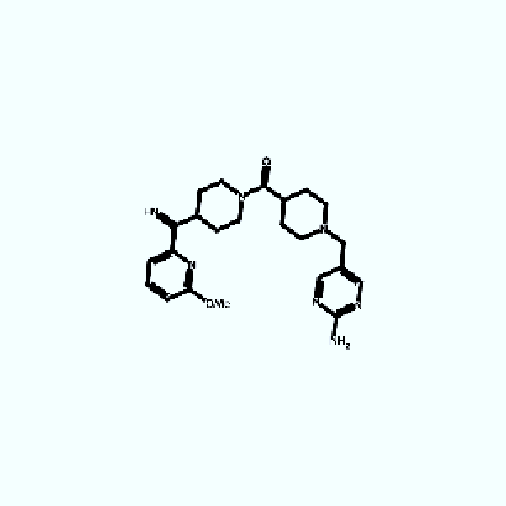 COc1cccc(C(=N)C2CCN(C(=O)C3CCN(Cc4cnc(N)nc4)CC3)CC2)n1